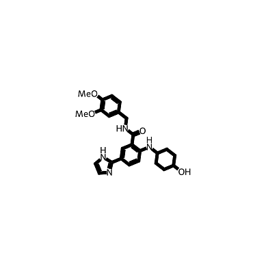 COc1ccc(CNC(=O)c2cc(-c3ncc[nH]3)ccc2NC2CCC(O)CC2)cc1OC